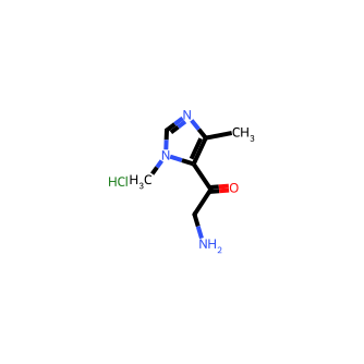 Cc1ncn(C)c1C(=O)CN.Cl